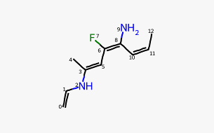 C=CN/C(C)=C/C(F)=C(N)\C=C/C